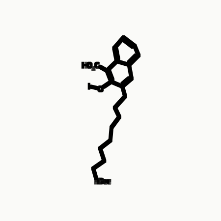 CCCCCCCCCCCCCCCCCCc1cc2ccccc2c(C(=O)O)c1OI